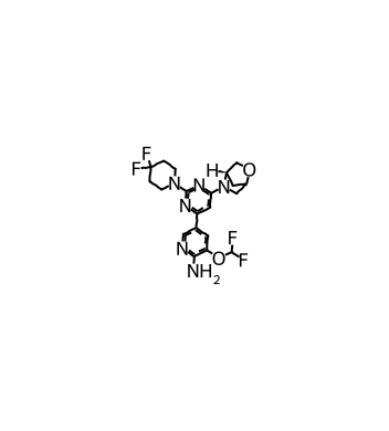 Nc1ncc(-c2cc(N3CC4C[C@H]3CO4)nc(N3CCC(F)(F)CC3)n2)cc1OC(F)F